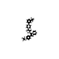 CC(Nc1c(-c2ccc(OC(F)(F)F)cc2)nc2cnccn12)C(=O)N1CCN(c2cccc(C(F)(F)F)c2)CC1